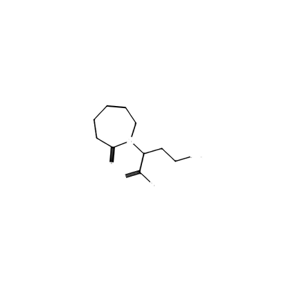 CCCCCCCCCCC(C(N)=O)N1CCCCCC1=O